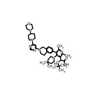 Cc1nc(C)c(C(OC(C)(C)C)C(=O)O)c(N2CCC(C)(C)CC2)c1-c1ccc2c(c1)CCN(c1cc(N3CCC(N4CCOCC4)CC3)ncn1)C2